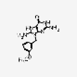 COc1cccc(CN2c3nc(N)[nH]c(=O)c3NC2N)c1